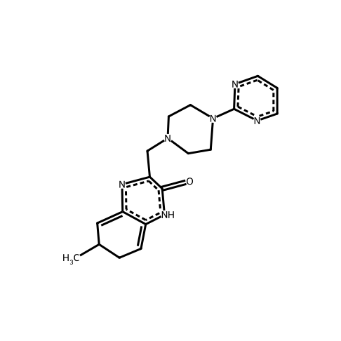 CC1C=c2nc(CN3CCN(c4ncccn4)CC3)c(=O)[nH]c2=CC1